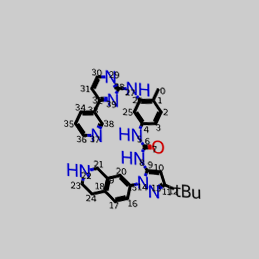 Cc1ccc(NC(=O)Nc2cc(C(C)(C)C)nn2-c2ccc3c(c2)CNCC3)cc1Nc1nccc(-c2cccnc2)n1